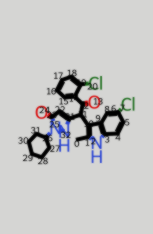 Cc1[nH]c2ccc(Cl)cc2c1C(C(=O)c1ccccc1Cl)c1cc(=O)n(C2CCCCC2)[nH]1